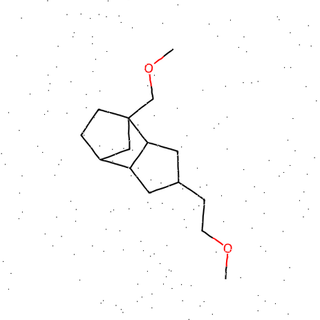 COCCC1CC2C3CCC(COC)(C3)C2C1